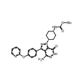 CC(C)(C)OC(=O)N[C@H]1CC[C@@H](n2nc(-c3ccc(Oc4ccccn4)cc3)c3c(N)n[nH]c(=O)c32)CC1